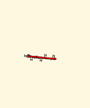 CCOCNCCSCCCCCCCCNCCCCNCCCOCCOCCOCCCNCCOCC(=O)O